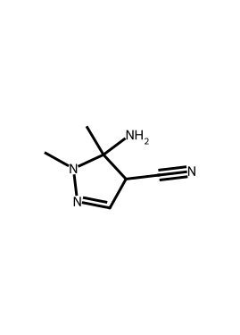 CN1N=CC(C#N)C1(C)N